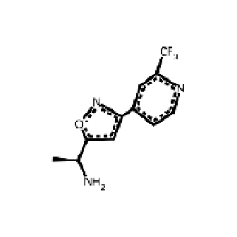 C[C@H](N)c1cc(-c2ccnc(C(F)(F)F)c2)no1